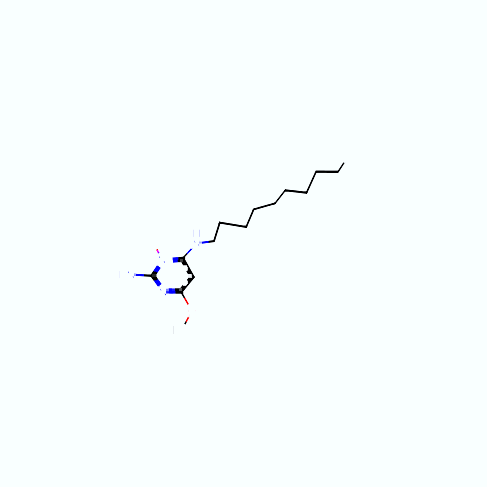 CCCCCCCCCCCCCCCCCCCNc1cc(OCC)nc(N)[n+]1[O-]